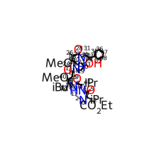 CCOC(=O)N(C)C(C(=O)N[C@H](C(=O)N(C)[C@@H]([C@@H](C)CC)[C@@H](CC(=O)N1CCC[C@H]1[C@H](OC)[C@@H](C)C(=O)N[C@H](C)[C@H](O)c1ccccc1)OC)C(C)C)C(C)C